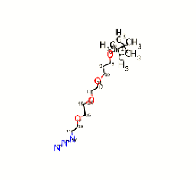 CC(C)(C)[Si](C)(C)OCCCOCCOCCOCCN=[N+]=[N-]